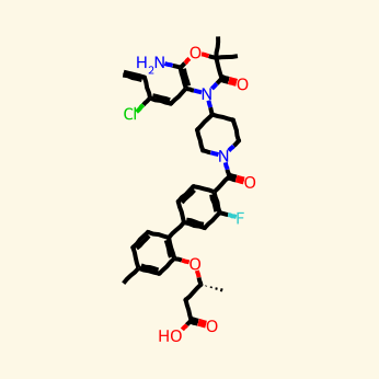 C=C/C(Cl)=C\C1=C(N)OC(C)(C)C(=O)N1C1CCN(C(=O)c2ccc(-c3ccc(C)cc3O[C@H](C)CC(=O)O)cc2F)CC1